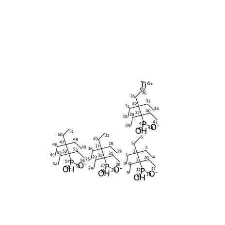 CCC(CC)(CC)C(CC)(CC)[PH](=O)[O-].CCC(CC)(CC)C(CC)(CC)[PH](=O)[O-].CCC(CC)(CC)C(CC)(CC)[PH](=O)[O-].CCC(CC)(CC)C(CC)(CC)[PH](=O)[O-].[Ti+4]